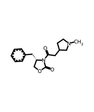 CN1CCC(CC(=O)N2C(=O)OC[C@@H]2Cc2ccccc2)C1